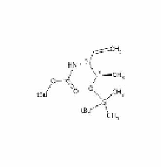 C=C[C@@H](NC(=O)OC(C)(C)C)[C@@H](C)O[Si](C)(C)C(C)(C)C